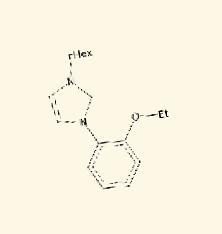 CCCCCCN1C=CN(c2ccccc2OCC)C1